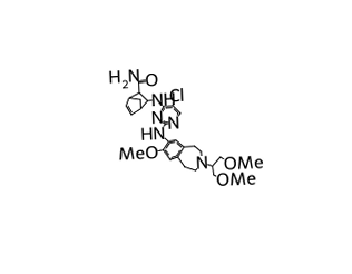 COCC(COC)N1CCc2cc(Nc3ncc(Cl)c(NC4C5C=CC(C5)C4C(N)=O)n3)c(OC)cc2CC1